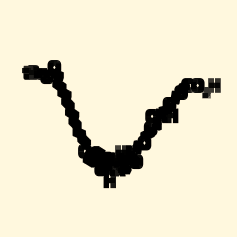 Cc1nc(NS(=O)(=O)c2ccc(OCCCCCCCCCCCCCCCC(=O)OC(C)(C)C)cc2)ncc1C(=O)NCCOCCOCC(=O)NCCOCCOCC(=O)O